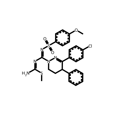 COc1ccc(S(=O)(=O)/N=C(/N=C(/N)SC)N2CCC(c3ccccc3)C(c3ccc(Cl)cc3)=N2)cc1